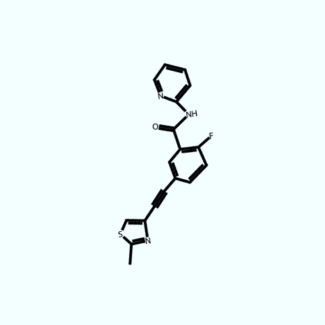 Cc1nc(C#Cc2ccc(F)c(C(=O)Nc3ccccn3)c2)cs1